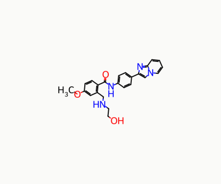 COc1ccc(C(=O)Nc2ccc(-c3cn4ccccc4n3)cc2)c(CNCCO)c1